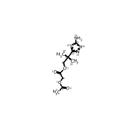 CC(=O)OCC(=O)OCC(C)(C)c1nnc(N)s1